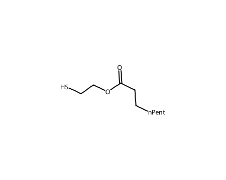 CCCCCCCC(=O)OCCS